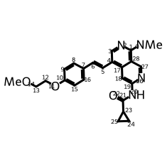 CNc1ncc(C=Cc2ccc(OCCOC)cc2)c2cc(NC(=O)C3CC3)ncc12